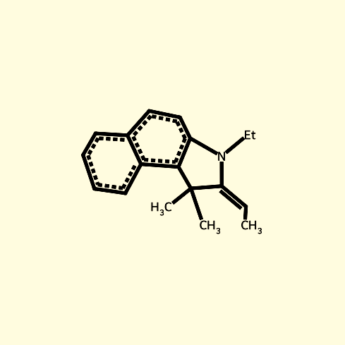 C/C=C1/N(CC)c2ccc3ccccc3c2C1(C)C